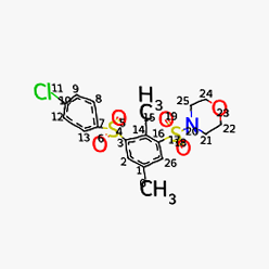 Cc1cc(S(=O)(=O)c2ccc(Cl)cc2)c(C)c(S(=O)(=O)N2CCOCC2)c1